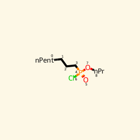 CCCCCCCCP(=O)(Cl)OCCC